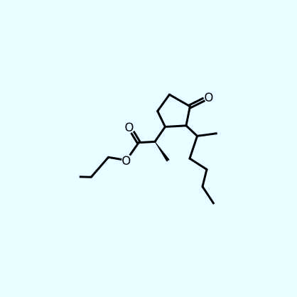 CCCCC(C)C1C(=O)CCC1[C@@H](C)C(=O)OCCC